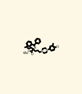 C/C=C/CC(CCCN1CCN(c2ccc(Cl)c(C)c2)CC1)(N=C(c1ccccc1)c1ccccc1)C(=O)OC(C)(C)C